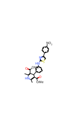 COC(=O)C1=C(C)NC(C)=C(C(=O)OC)C1c1cccc(Nc2nc(-c3ccc([N+](=O)[O-])cc3)cs2)c1